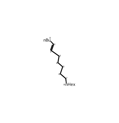 [CH2]CCCC=CCCCCCCCCCC[CH2]